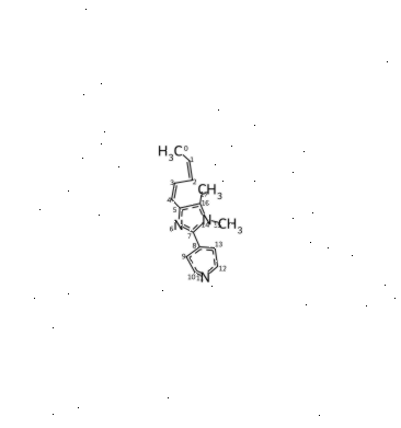 C/C=C\C=C/c1nc(-c2ccncc2)n(C)c1C